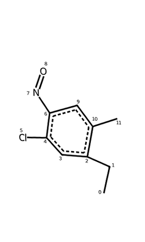 CCc1cc(Cl)c(N=O)cc1C